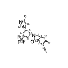 C#Cc1cc(C(=O)Nc2cc(-n3cnc(C)c3)cc(C(F)(F)F)c2)ccc1C